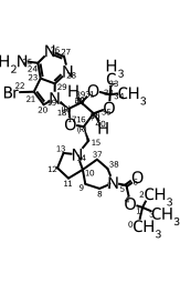 CC(C)(C)OC(=O)N1CCC2(CCCN2C[C@H]2O[C@@H](n3cc(Br)c4c(N)ncnc43)[C@@H]3OC(C)(C)O[C@@H]32)CC1